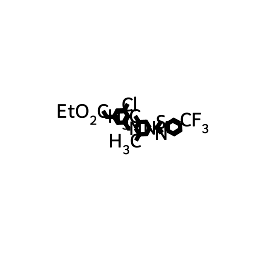 CCOC(=O)Cc1cc(Cl)cc(CN2C(C)CN(c3nc4ccc(C(F)(F)F)cc4s3)CC2C)c1